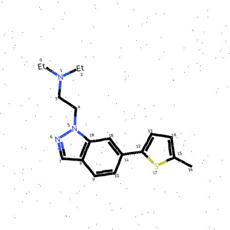 CCN(CC)CCn1ncc2ccc(-c3ccc(C)s3)cc21